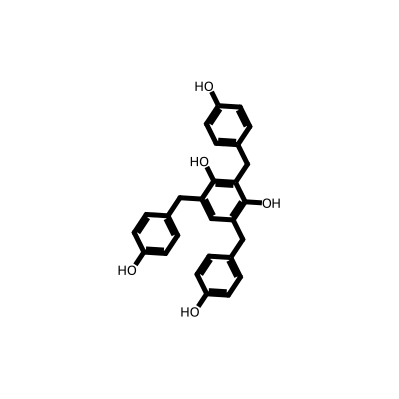 Oc1ccc(Cc2cc(Cc3ccc(O)cc3)c(O)c(Cc3ccc(O)cc3)c2O)cc1